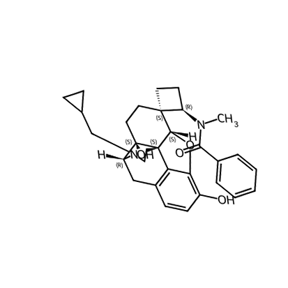 CN(C(=O)c1ccccc1)[C@@H]1CC[C@]12CC[C@@]1(O)[C@H]3Cc4ccc(O)c5c4[C@@]1(CCN3CC1CC1)[C@H]2O5